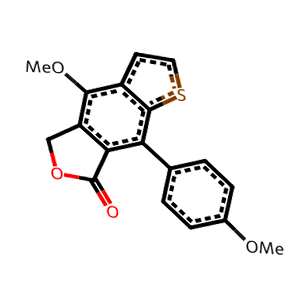 COc1ccc(-c2c3c(c(OC)c4ccsc24)COC3=O)cc1